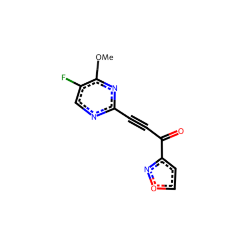 COc1nc(C#CC(=O)c2ccon2)ncc1F